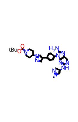 Cn1cc(Nc2ncc3nc(N)n(-c4ccc(-c5cnn(C6CCN(C(=O)OC(C)(C)C)CC6)c5)cc4)c3n2)cn1